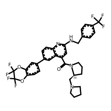 O=C(c1cc(NCc2ccc(C(F)(F)F)cc2)nc2ccc(-c3ccc4c(c3)OC(F)(F)C(F)(F)O4)cc12)N1CCC[C@H]1CN1CCCC1